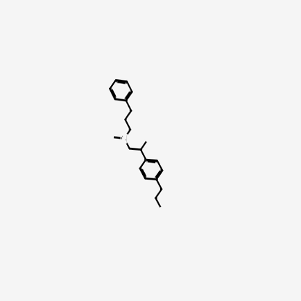 CCCc1ccc(C(C)CN(C)CCCc2ccccc2)cc1